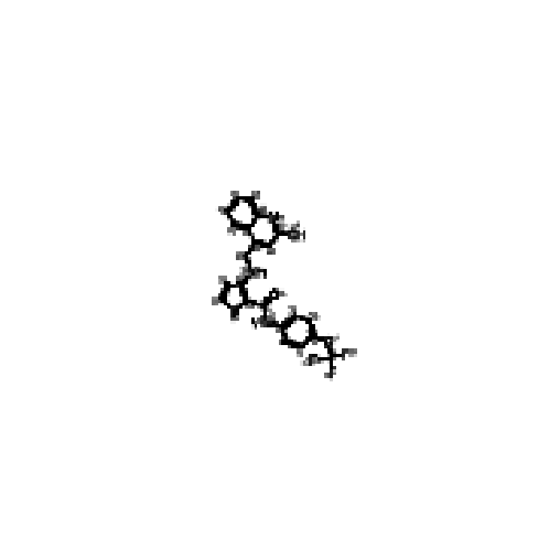 O=C(Nc1ccc(OC(F)(F)F)cc1)c1sccc1NCc1cc(O)nc2ccccc12